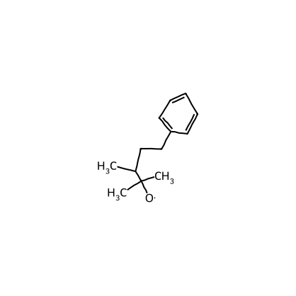 CC(CCc1ccccc1)C(C)(C)[O]